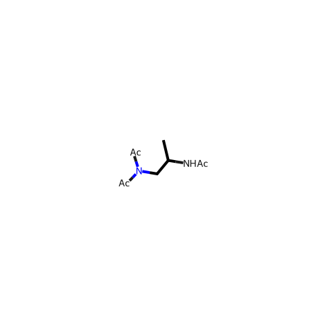 CC(=O)NC(C)CN(C(C)=O)C(C)=O